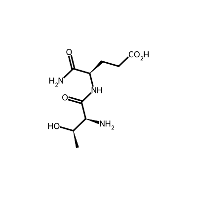 C[C@@H](O)[C@H](N)C(=O)N[C@H](CCC(=O)O)C(N)=O